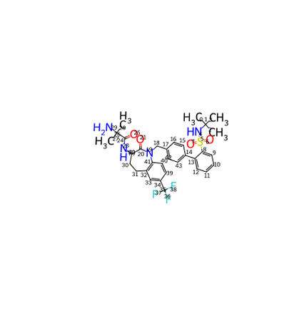 CC(C)(C)NS(=O)(=O)c1ccccc1-c1ccc(CN2C(=O)[C@H](NC(=O)C(C)(C)N)CCc3cc(C(F)(F)F)ccc32)cc1